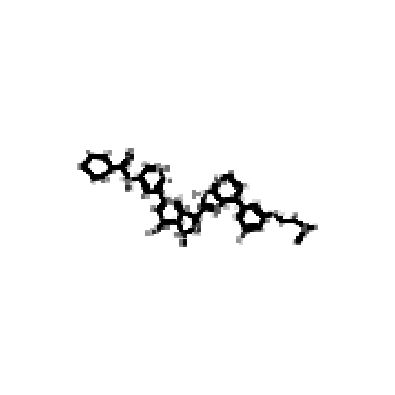 CN(C)CCNc1cc(F)cc(-c2ccnc3[nH]c(-c4n[nH]c5c(F)cc(-c6cncc(NC(=O)C7CCCCC7)c6)cc45)nc23)c1